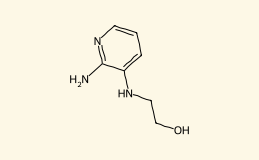 Nc1ncccc1NCCO